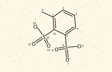 Cc1cccc(S(=O)(=O)Cl)c1S(=O)(=O)Cl